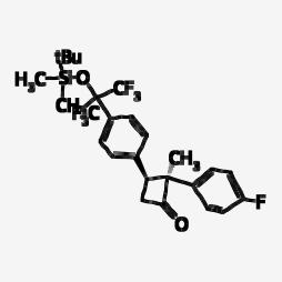 CC(C)(C)[Si](C)(C)OC(c1ccc([C@@H]2CC(=O)[C@]2(C)c2ccc(F)cc2)cc1)(C(F)(F)F)C(F)(F)F